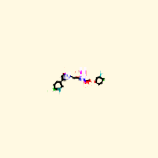 O=C(COc1ccc(Cl)c(F)c1)NC[C@@H](O)CCN1CC(c2ccc(Cl)c(F)c2)=CC1=O